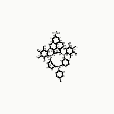 Cc1ccc(N2c3cccc(c3)N(c3c(C)c(C)c(C)c(C)c3C)c3cc(c4ccc5cc(C(C)(C)C)cc6ccc3c4c65)N(c3c(C)c(C)c(C)c(C)c3C)c3cccc2c3)cc1